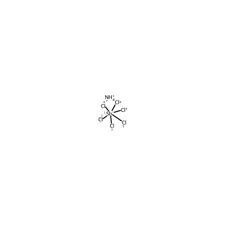 [Cl][Sb-]([Cl])([Cl])([Cl])([Cl])[Cl].[NH4+]